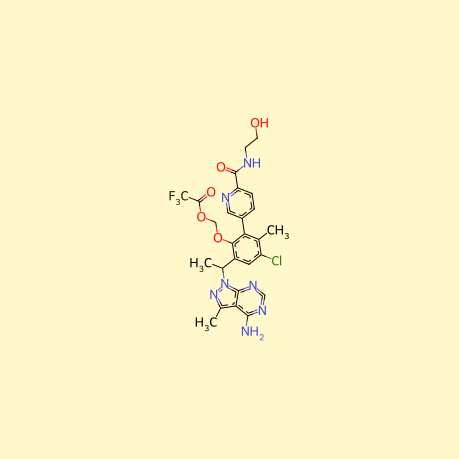 Cc1c(Cl)cc(C(C)n2nc(C)c3c(N)ncnc32)c(OCOC(=O)C(F)(F)F)c1-c1ccc(C(=O)NCCO)nc1